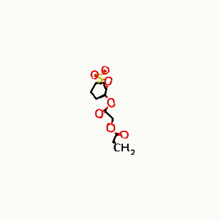 C=CC(=O)OCC(=O)OC1CCC2CC1OS2(=O)=O